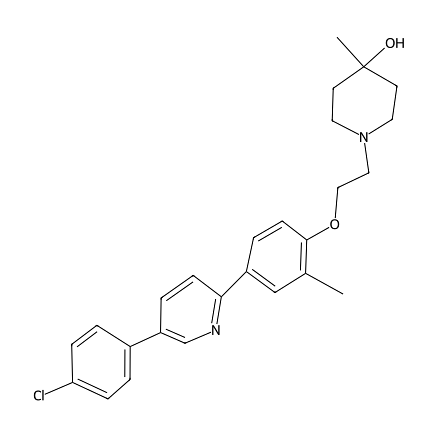 Cc1cc(-c2ccc(-c3ccc(Cl)cc3)cn2)ccc1OCCN1CCC(C)(O)CC1